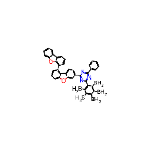 Bc1c(B)c(B)c(-c2nc(-c3ccccc3)nc(-c3ccc4c(c3)oc3cccc(-c5cccc6c5oc5ccccc56)c34)n2)c(B)c1B